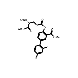 COC(=O)c1cc(-c2ccc(F)cc2F)ccc1OC(=O)SC[C@@H](NC(C)=O)C(=O)OC